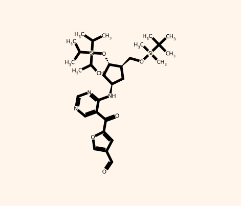 CC(C)[Si](O[C@H]1C[C@H](Nc2ncncc2C(=O)c2cc(C=O)co2)C[C@@H]1CO[Si](C)(C)C(C)(C)C)(C(C)C)C(C)C